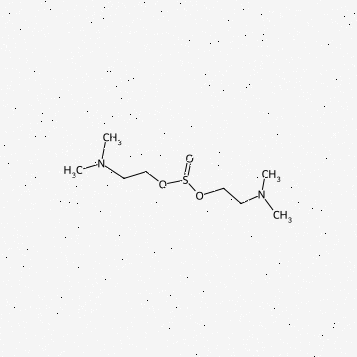 CN(C)CCOS(=O)OCCN(C)C